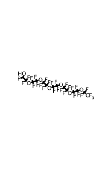 OC(F)C(F)(F)OC(F)(F)C(F)(F)OC(F)(F)C(F)(F)OC(F)(F)C(F)(F)OC(F)(F)C(F)(F)OC(F)(F)C(F)(F)OC(F)(F)C(F)(F)F